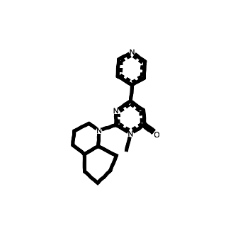 Cn1c(N2CCCC3CCCCC32)nc(-c2ccncc2)cc1=O